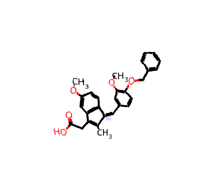 COc1ccc2c(c1)C(CC(=O)O)=C(C)/C2=C/c1ccc(OCc2ccccc2)c(OC)c1